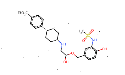 CCOC(=O)c1ccc([C@H]2CC[C@H](NCC(O)OCc3ccc(O)c(NS(C)(=O)=O)c3)CC2)cc1